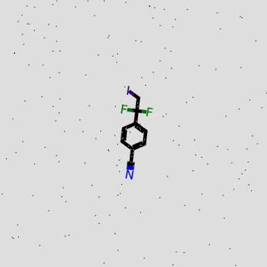 N#Cc1ccc(C(F)(F)CI)cc1